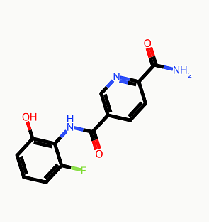 NC(=O)c1ccc(C(=O)Nc2c(O)cccc2F)cn1